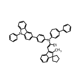 CC/C(=C\C1=C(C)C2(CCCC2)c2ccccc21)N(C1=CCC=C(c2ccccc2)C=C1)c1ccc(-c2ccc3c(c2)c2ccccc2n3-c2ccccc2)cc1